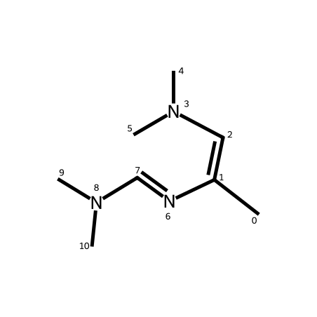 CC(=CN(C)C)N=CN(C)C